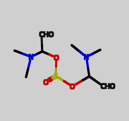 CN(C)C(C=O)OS(=O)OC(C=O)N(C)C